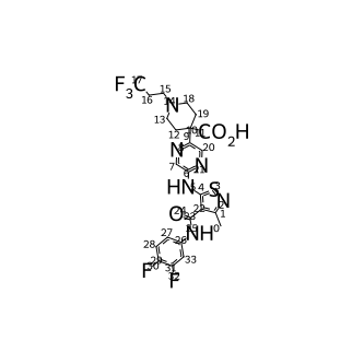 Cc1nsc(Nc2cnc(C3(C(=O)O)CCN(CCC(F)(F)F)CC3)cn2)c1C(=O)Nc1ccc(F)c(F)c1